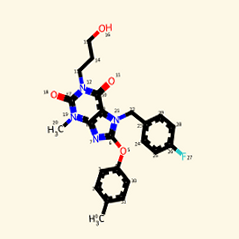 Cc1ccc(Oc2nc3c(c(=O)n(CCCO)c(=O)n3C)n2Cc2ccc(F)cc2)cc1